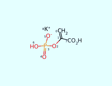 C=C(OP(=O)([O-])O)C(=O)O.[K+]